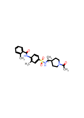 CC(=O)N1CCC([C@@H](C)NS(=O)(=O)c2ccc(NC(=O)c3ccccc3C)c(C)c2)CC1